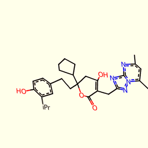 Cc1cc(C)n2nc(CC3=C(O)CC(CCc4ccc(O)c(C(C)C)c4)(C4CCCC4)OC3=O)nc2n1